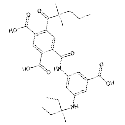 CCCC(C)(C)C(=O)c1cc(C(=O)Nc2cc(NC(C)(CC)CC)cc(C(=O)O)c2)c(C(=O)O)cc1C(=O)O